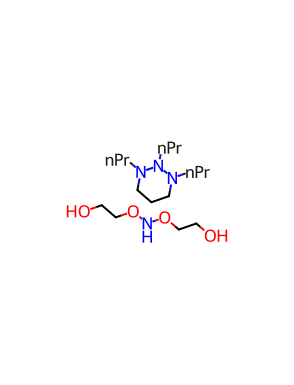 CCCN1CCCN(CCC)N1CCC.OCCONOCCO